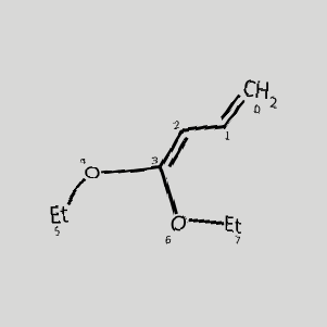 C=CC=C(OCC)OCC